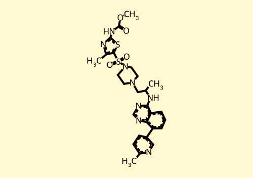 COC(=O)Nc1nc(C)c(S(=O)(=O)N2CCN(CC(C)Nc3ncnc4c(-c5ccc(C)nc5)cccc34)CC2)s1